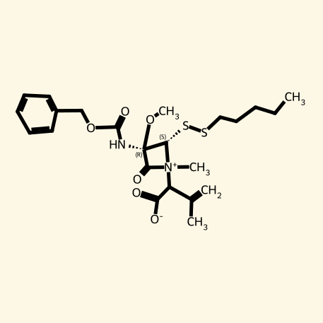 C=C(C)C(C(=O)[O-])[N+]1(C)C(=O)[C@@](NC(=O)OCc2ccccc2)(OC)[C@@H]1SSCCCCC